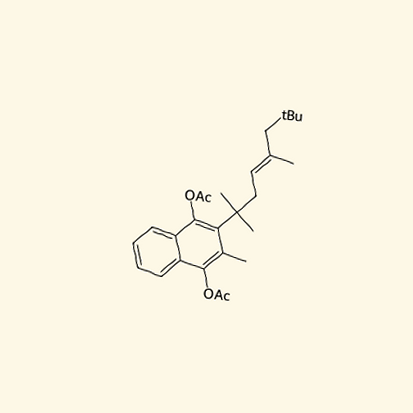 CC(=O)Oc1c(C)c(C(C)(C)C/C=C(\C)CC(C)(C)C)c(OC(C)=O)c2ccccc12